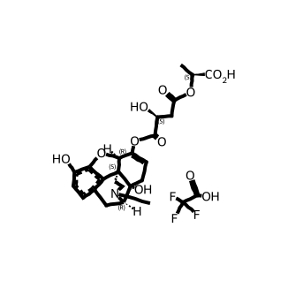 C[C@H](OC(=O)C[C@H](O)C(=O)OC1=CC[C@@]2(O)[C@H]3Cc4ccc(O)c5c4[C@@]2(CCN3C)[C@H]1O5)C(=O)O.O=C(O)C(F)(F)F